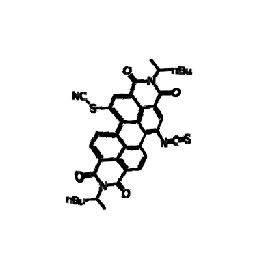 CCCCC(C)N1C(=O)c2ccc3c4c(N=C=S)cc5c6c(cc(SC#N)c(c7ccc(c2c37)C1=O)c64)C(=O)N(C(C)CCCC)C5=O